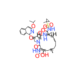 CC(C)Oc1cc2ccccc2c(O[C@@H]2C[C@H]3C(=O)N[C@]4(C(=O)NS(=O)(=O)C5(C)CC5)C[C@H]4C=CCC[C@@H](C)C[C@@H](C)[C@H](NC(=O)O)C(=O)N3C2)n1